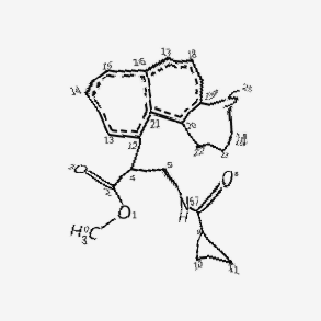 COC(=O)C(CNC(=O)C1CC1)c1cccc2ccc3c(c12)CCCS3